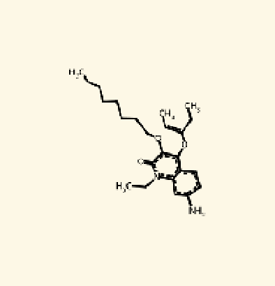 CC=C(CC)Oc1c(OCCCCCCCC)c(=O)n(CC)c2cc(N)ccc12